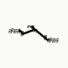 CCCCCC(CCCCC)CCOC(=O)CCCCCCCCCCOCC(CCN(C)C(C)C)OCCCCCCCCCCC(=O)OCCC(CCCCC)CCCCC